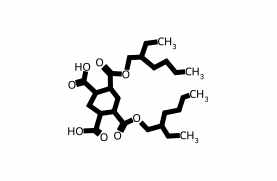 CCCCC(CC)COC(=O)C1CC(C(=O)OCC(CC)CCCC)C(C(=O)O)CC1C(=O)O